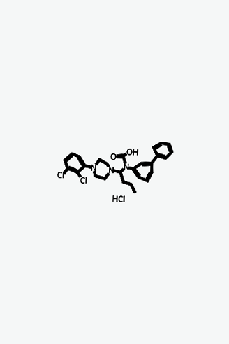 CCCC(N1CCN(c2cccc(Cl)c2Cl)CC1)N(C(=O)O)c1cccc(-c2ccccc2)c1.Cl